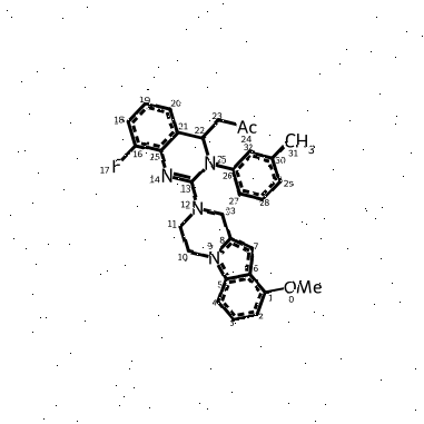 COc1cccc2c1cc1n2CCN(C2=Nc3c(F)cccc3C(CC(C)=O)N2c2cccc(C)c2)C1